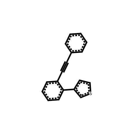 C(#Cc1ccccc1-c1ccsc1)c1ccccc1